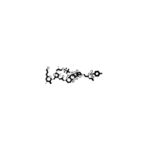 C=C(Br)C[C@@H](CC[C@@]12C[C@H]3O[C@H]4C(O1)[C@H]1O[C@@H](CC(=O)C[C@H]5C(C[C@H]6OC(CCC=O)C[C@@H](C)C6=C)O[C@H](C[C@H](C)CO[Si](C)(C)C(C)(C)C)[C@@H]5C)CC[C@@H]1O[C@H]4C3O2)OS(=O)(=O)c1ccc(C)cc1